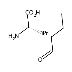 CC(C)[C@H](N)C(=O)O.CCCC=O